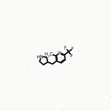 Cc1nc(C(F)(F)F)ccc1CC1CCNC1